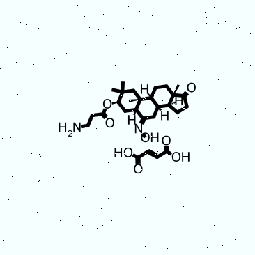 CC1(C)C[C@@]2(C)[C@@H](C[C@H]1OC(=O)CCN)/C(=N/O)C[C@@H]1[C@@H]2CC[C@]2(C)C(=O)CC[C@@H]12.O=C(O)/C=C/C(=O)O